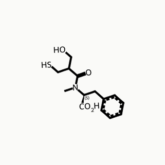 CN(C(=O)C(CO)CS)[C@@H](Cc1ccccc1)C(=O)O